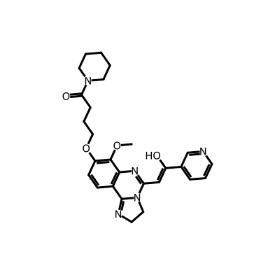 COc1c(OCCCC(=O)N2CCCCC2)ccc2c1N=C(/C=C(\O)c1cccnc1)N1CCN=C21